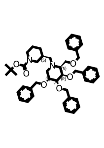 CC(C)(C)OC(=O)N1CCC[C@@H](CN2C[C@H](OCc3ccccc3)[C@@H](OCc3ccccc3)[C@H](OCc3ccccc3)[C@@H]2COCc2ccccc2)C1